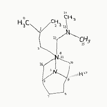 CC(C)CCN1C2CC[C@@H]1CN(CN(C)C)C2